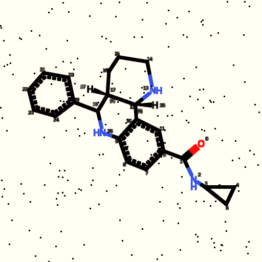 O=C(NC1CC1)c1ccc2c(c1)[C@H]1NCCC[C@H]1C(c1ccccc1)N2